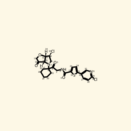 O=C(NCC(=O)C1(N2C[C@H](Cl)[C@H]3OCC(=O)[C@H]32)CCCCC1)c1ccc(-c2ccc(Cl)nc2)s1